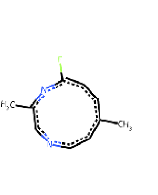 Cc1ccncc(C)nc(F)cc1